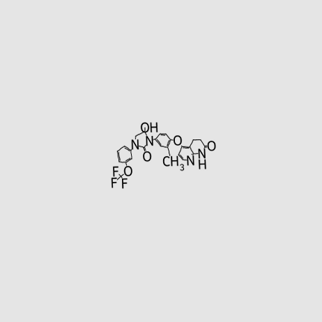 CCc1cc(N2C(=O)N(c3cccc(OC(F)(F)F)c3)CC2O)ccc1Oc1ccnc2c1CCC(=O)N2